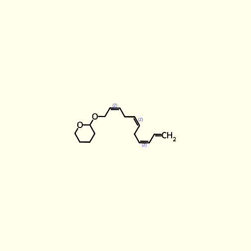 C=C/C=C\C/C=C\C/C=C\COC1CCCCO1